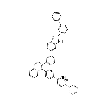 N=C(/C=C\C(=N)c1ccc(-c2c(-c3cccc(-c4ccc5c(c4)NC(c4cccc(-c6ccccc6)c4)O5)c3)ccc3ccccc23)cc1)c1ccccc1